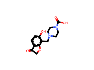 O=C1COc2c1ccc(O)c2CN1CCN(C(=O)O)CC1